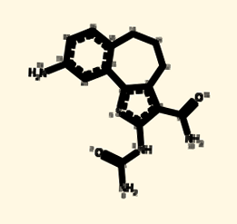 NC(=O)Nc1sc2c(c1C(N)=O)CCCc1ccc(N)cc1-2